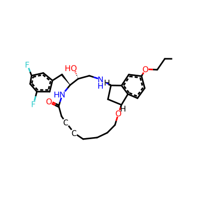 CCCOc1ccc2c(c1)[C@@H]1C[C@H]2OCCCCCCCC(=O)N[C@@H](Cc2cc(F)cc(F)c2)[C@H](O)CN1